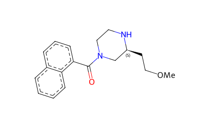 COCC[C@H]1CN(C(=O)c2cccc3ccccc23)CCN1